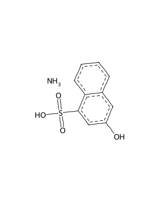 N.O=S(=O)(O)c1cc(O)cc2ccccc12